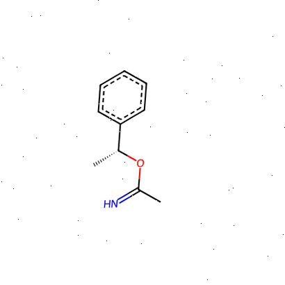 CC(=N)O[C@H](C)c1ccccc1